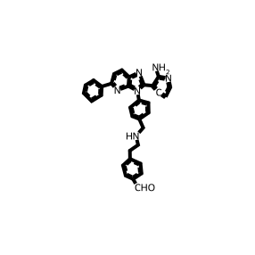 Nc1ncccc1-c1nc2ccc(-c3ccccc3)nc2n1-c1ccc(CNCCc2ccc(C=O)cc2)cc1